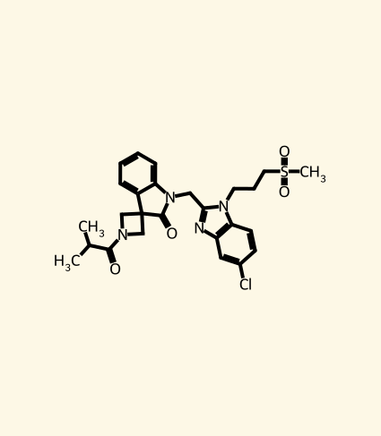 CC(C)C(=O)N1CC2(C1)C(=O)N(Cc1nc3cc(Cl)ccc3n1CCCS(C)(=O)=O)c1ccccc12